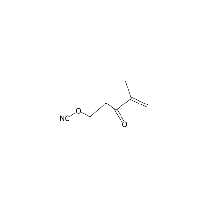 C=C(C)C(=O)CCOC#N